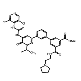 COC(=O)c1cc(C(=O)NCCN2CCCC2)cc(-c2cccc(-c3cc(NC(=O)Nc4c(Cl)cncc4Cl)c(=O)n(C(C)I)n3)c2)c1